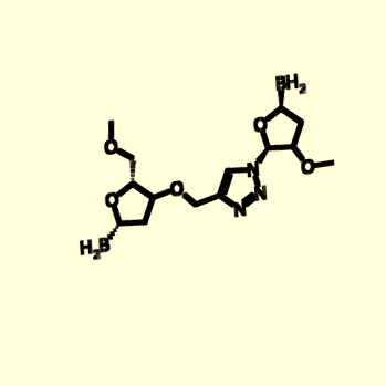 B[C@H]1CC(OCc2cn([C@H]3O[C@@H](B)CC3OC)nn2)[C@@H](COC)O1